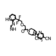 C[C@H]1CC2CN(C(=O)COCC(F)(F)c3ccc[nH]/c3=N\C=N)CC1N2c1ccc(C#N)cn1